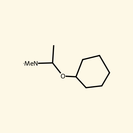 C[N]C(C)OC1CCCCC1